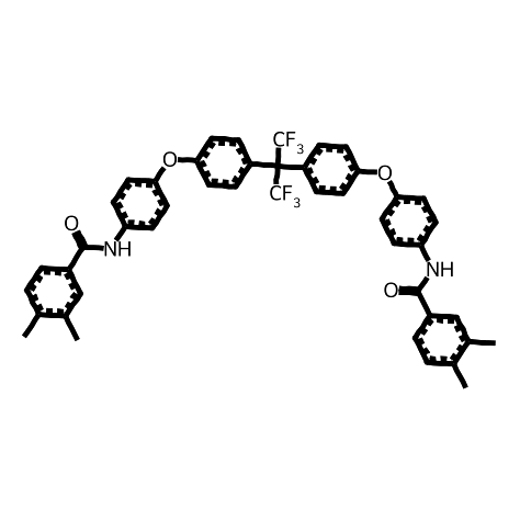 Cc1ccc(C(=O)Nc2ccc(Oc3ccc(C(c4ccc(Oc5ccc(NC(=O)c6ccc(C)c(C)c6)cc5)cc4)(C(F)(F)F)C(F)(F)F)cc3)cc2)cc1C